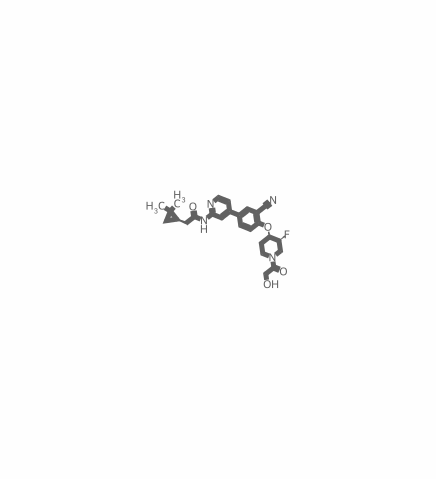 CC1(C)C[C@@H]1CC(=O)Nc1cc(-c2ccc(O[C@H]3CCN(C(=O)CO)C[C@H]3F)c(C#N)c2)ccn1